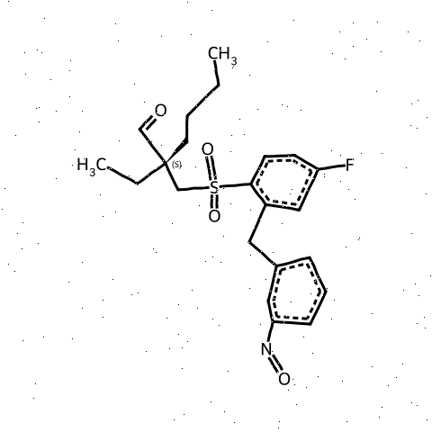 CCCC[C@](C=O)(CC)CS(=O)(=O)c1ccc(F)cc1Cc1cccc(N=O)c1